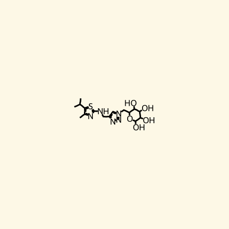 Cc1nc(NCc2cn(CC3OC(O)C(O)C(O)C3O)nn2)sc1C(C)C